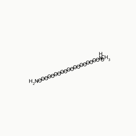 CC(=O)NCCOCCOCCOCCOCCOCCOCCOCCOCCOCCOCCOCCOCCOCCOCCOCCOCCOCCOCCOCCN